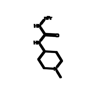 CCCNC(=O)NC1CCN(C)CC1